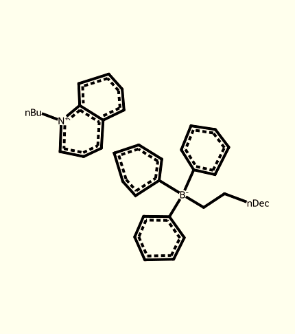 CCCCCCCCCCCC[B-](c1ccccc1)(c1ccccc1)c1ccccc1.CCCC[n+]1cccc2ccccc21